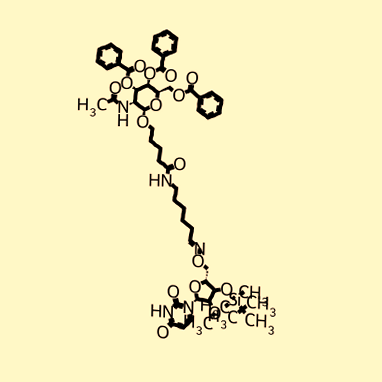 COC1C(O[Si](C)(C)C(C)(C)C)[C@@H](CON=CCCCCCNC(=O)CCCCO[C@@H]2O[C@H](COC(=O)c3ccccc3)[C@H](OC(=O)c3ccccc3)[C@H](OC(=O)c3ccccc3)[C@H]2NC(C)=O)O[C@H]1n1ccc(=O)[nH]c1=O